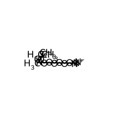 CN(CCOCCOCCOCCOCCOCCOCCN=[N+]=[N-])C(=O)OCC[Si](C)(C)C